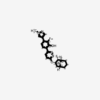 Cn1cc(-c2ccc(-c3ccc(O[C@H]4C[C@@H]5CCC[C@@H](N5)[C@H]4F)nn3)c(O)c2F)cn1